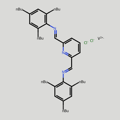 CCCCc1cc(CCCC)c(N=Cc2cccc(C=Nc3c(CCCC)cc(CCCC)cc3CCCC)n2)c(CCCC)c1.[Cl-].[Cl-].[V+2]